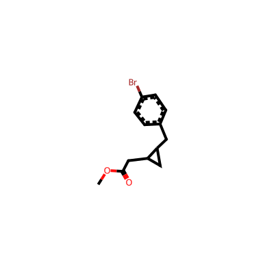 COC(=O)CC1CC1Cc1ccc(Br)cc1